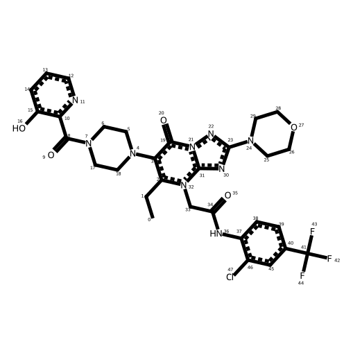 CCc1c(N2CCN(C(=O)c3ncccc3O)CC2)c(=O)n2nc(N3CCOCC3)nc2n1CC(=O)Nc1ccc(C(F)(F)F)cc1Cl